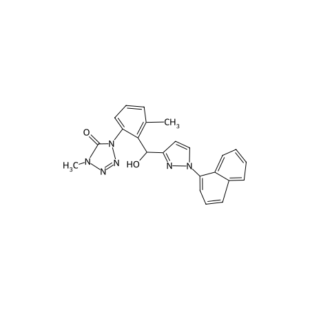 Cc1cccc(-n2nnn(C)c2=O)c1C(O)c1ccn(-c2cccc3ccccc23)n1